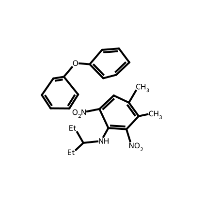 CCC(CC)Nc1c([N+](=O)[O-])cc(C)c(C)c1[N+](=O)[O-].c1ccc(Oc2ccccc2)cc1